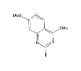 COc1ccc2c(OC)nc(C)nc2c1